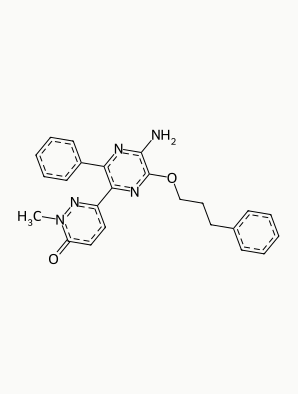 Cn1nc(-c2nc(OCCCc3ccccc3)c(N)nc2-c2ccccc2)ccc1=O